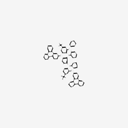 CC(C)(C)c1cc2c3c(c1)N(c1ccc4c5ccccc5c5ccccc5c4c1)c1ccccc1B3c1cc3c(cc1O2)N(c1ccc2c4ccccc4c4ccccc4c2c1)c1cc(C(C)(C)C)cc2c1B3c1ccccc1N2c1ccccc1